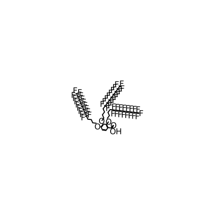 O=C(O)c1ccc(OCCCCC(F)(F)C(F)(F)C(F)(F)C(F)(F)C(F)(F)C(F)(F)C(F)(F)C(F)(F)F)c(OCCCCC(F)(F)C(F)(F)C(F)(F)C(F)(F)C(F)(F)C(F)(F)C(F)(F)C(F)(F)F)c1OCCCCC(F)(F)C(F)(F)C(F)(F)C(F)(F)C(F)(F)C(F)(F)C(F)(F)C(F)(F)F